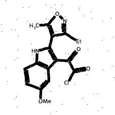 CCc1noc(C)c1-c1[nH]c2ccc(OC)cc2c1C(=O)C(=O)Cl